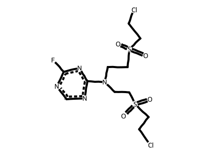 O=S(=O)(CCCl)CCN(CCS(=O)(=O)CCCl)c1n[c]nc(F)n1